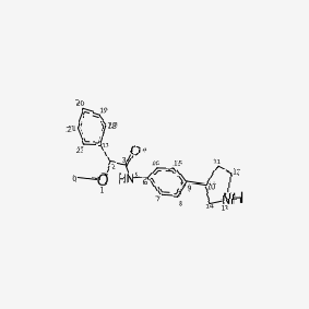 COC(C(=O)Nc1ccc(C2CCNC2)cc1)c1ccccc1